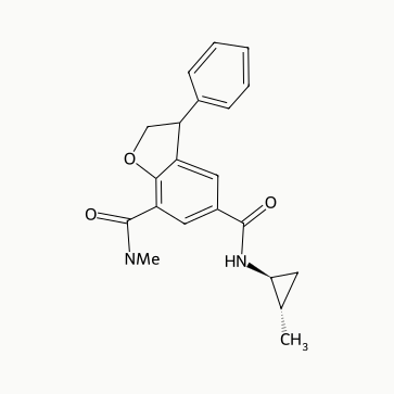 CNC(=O)c1cc(C(=O)N[C@H]2C[C@@H]2C)cc2c1OCC2c1ccccc1